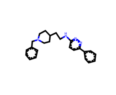 c1ccc(CN2CCC(CCNc3ccc(-c4ccccc4)nn3)CC2)cc1